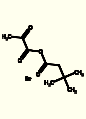 CC(=O)C(=O)OC(=O)CC(C)(C)C.[Sc]